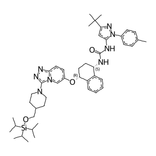 Cc1ccc(-n2nc(C(C)(C)C)cc2NC(=O)N[C@H]2CC[C@@H](Oc3ccc4nnc(N5CCC(CO[Si](C(C)C)(C(C)C)C(C)C)CC5)n4c3)c3ccccc32)cc1